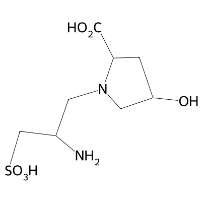 NC(CN1CC(O)CC1C(=O)O)CS(=O)(=O)O